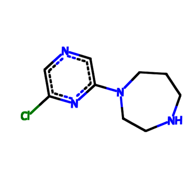 Clc1cncc(N2CCCNCC2)n1